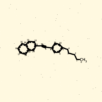 CCCCCc1ccc(C#Cc2ccc3ccccc3c2)cc1